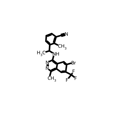 Cc1c(C#N)cccc1C(C)Nc1nnc(C)c2cc(C(F)(F)F)c(Br)cc12